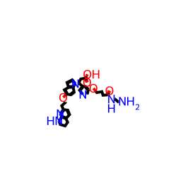 NCCNC(=O)CCCOc1cncc(C(CC(=O)O)n2ccc3cc(OCCc4ccc5c(n4)NCCC5)ccc32)c1